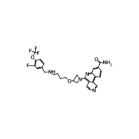 NC(=O)c1ccc2c(c1)nc(N1CC(OCCCCNCc3ccc(OC(F)(F)F)c(F)c3)C1)c1ccncc12